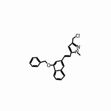 Cn1nc(CCl)cc1C=Cc1cc(OCc2ccccc2)c2ccccc2c1